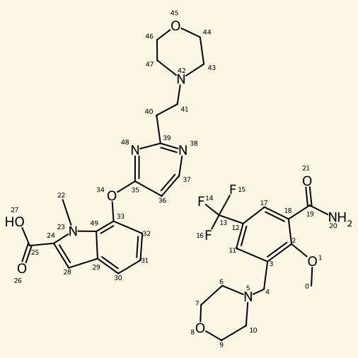 COc1c(CN2CCOCC2)cc(C(F)(F)F)cc1C(N)=O.Cn1c(C(=O)O)cc2cccc(Oc3ccnc(CCN4CCOCC4)n3)c21